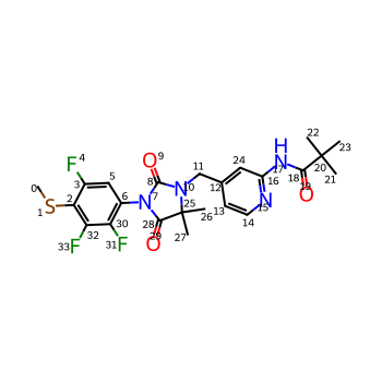 CSc1c(F)cc(N2C(=O)N(Cc3ccnc(NC(=O)C(C)(C)C)c3)C(C)(C)C2=O)c(F)c1F